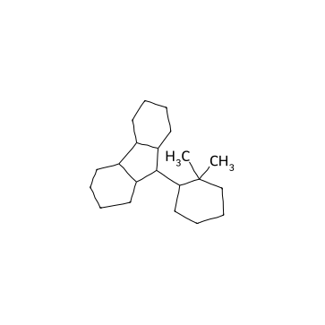 CC1(C)CCCCC1C1C2CCCCC2C2CCCCC21